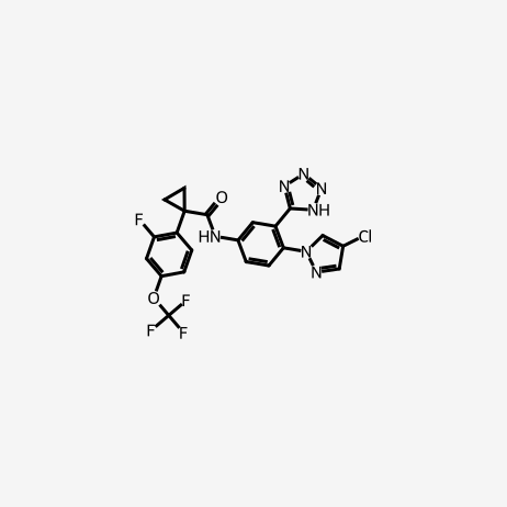 O=C(Nc1ccc(-n2cc(Cl)cn2)c(-c2nnn[nH]2)c1)C1(c2ccc(OC(F)(F)F)cc2F)CC1